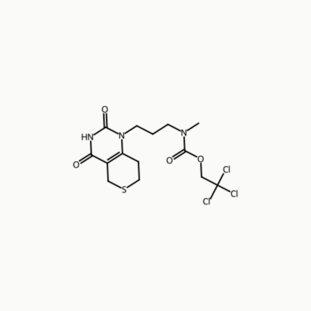 CN(CCCn1c2c(c(=O)[nH]c1=O)CSCC2)C(=O)OCC(Cl)(Cl)Cl